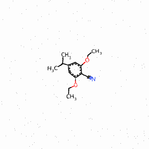 CCOc1cc(C(C)C)cc(OCC)c1C#N